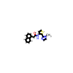 Cn1ccnc1-c1sccc1NC(=O)Cc1cccc2ccccc12